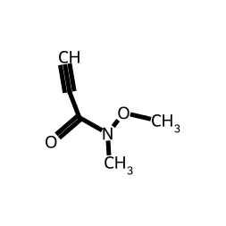 C#CC(=O)N(C)OC